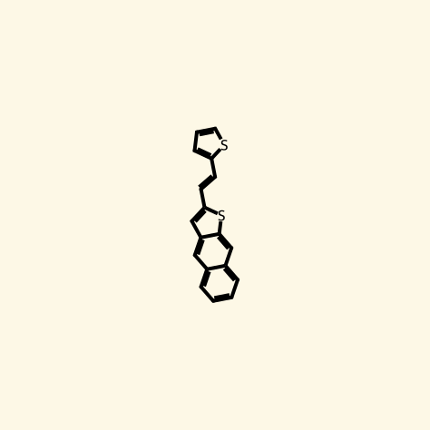 C(=C\c1cc2cc3ccccc3cc2s1)/c1cccs1